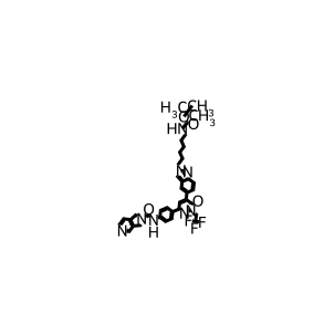 CC(C)(C)OC(=O)NCCCCCCn1cc2cc(-c3cc(-c4ccc(NC(=O)N5Cc6ccncc6C5)cc4)nn(CC(F)(F)F)c3=O)ccc2n1